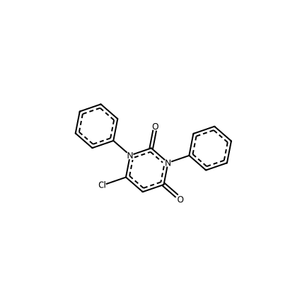 O=c1cc(Cl)n(-c2ccccc2)c(=O)n1-c1ccccc1